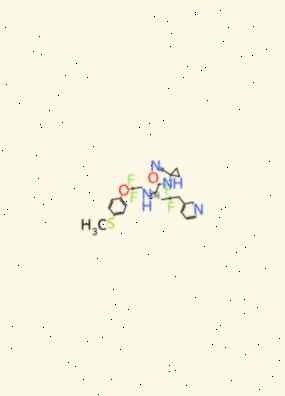 CSc1ccc(OC(F)(F)CN[C@@H](CC(F)(F)Cc2cccnc2)C(=O)NC2(C#N)CC2)cc1